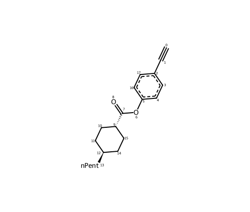 C#Cc1ccc(OC(=O)[C@H]2CC[C@H](CCCCC)CC2)cc1